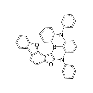 c1ccc(N2c3ccccc3B3c4c2cccc4N(c2ccccc2)c2oc4ccc5c6ccccc6oc5c4c23)cc1